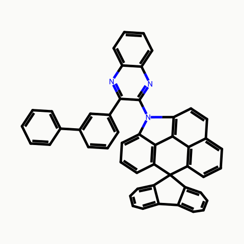 c1ccc(-c2cccc(-c3nc4ccccc4nc3-n3c4cccc5c4c4c6c(cccc6ccc43)C53c4ccccc4-c4ccccc43)c2)cc1